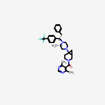 Cc1ncnc(C)c1C(=O)N1CCC2(N3CCN([C@@H](Cc4ccccc4)c4ccc(C(F)(F)F)cc4)[C@@H](C)C3)CC2C1